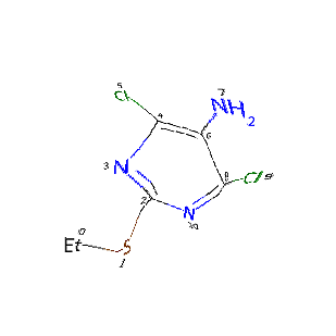 CCSc1nc(Cl)c(N)c(Cl)n1